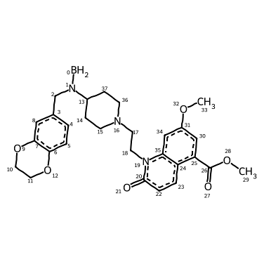 BN(Cc1ccc2c(c1)OCCO2)C1CCN(CCn2c(=O)ccc3c(C(=O)OC)cc(OC)cc32)CC1